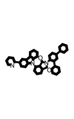 O=C1c2cccc(-n3c4ccccc4c4cc(-c5ccccn5)ccc43)c2C(=O)N1c1ccc(-c2ccccc2)cc1-c1ccccc1